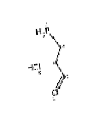 Cl.O=CCCP